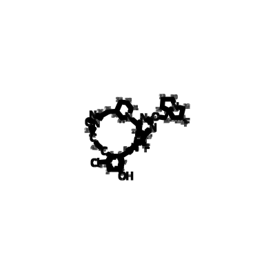 Oc1cc(Cl)c2c(c1)-c1ncc3c(nc(OC[C@@]45CCCN4C[C@H](F)C5)nc3c1F)N1CCCC(Cc3noc(n3)CCC2)C1